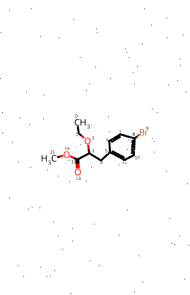 CCOC(Cc1ccc(Br)cc1)C(=O)OC